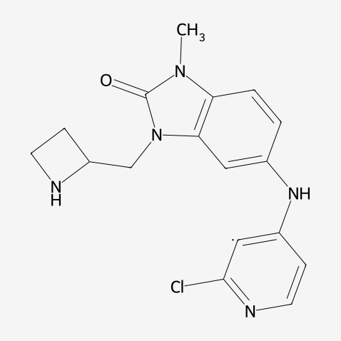 Cn1c(=O)n(CC2CCN2)c2cc(Nc3[c]c(Cl)ncc3)ccc21